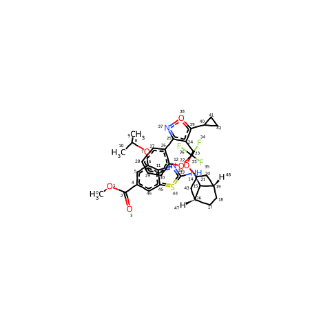 COC(=O)c1cc(OC(C)C)c2nc(NC3[C@@H]4CC[C@H]3CC(OCc3c(-c5ccccc5OC(F)(F)F)noc3C3CC3)C4)sc2c1